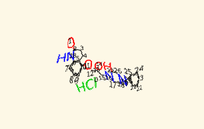 Cl.O=C1CCc2c(cccc2OCC(O)CN2CCN(c3ccccc3)CC2)N1